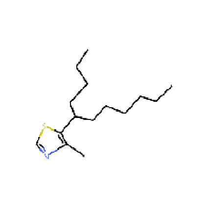 CCCCCCC(CCCC)c1scnc1C